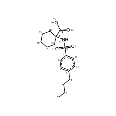 CCCCc1ccc(S(=O)(=O)NC2(C(=O)O)CCCCC2)cc1